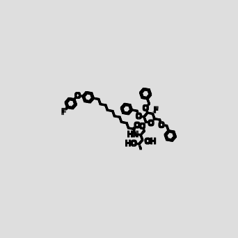 C[C@@H](O)[C@@H](O)[C@H](CO[C@H]1OC(COCc2ccccc2)[C@@H](F)[C@H](OCc2ccccc2)C1OCc1ccccc1)NC(=O)CCCCCCCCCCc1ccc(Oc2ccc(F)cc2)cc1